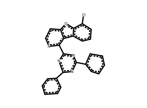 Clc1cccc2c1oc1ccnc(-c3nc(-c4ccccc4)nc(-c4ccccc4)n3)c12